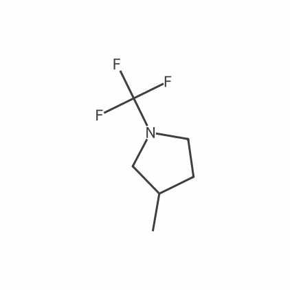 CC1CCN(C(F)(F)F)C1